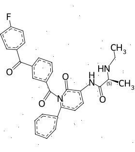 CCN[C@@H](C)C(=O)Nc1ccc(-c2ccccc2)n(C(=O)c2cccc(C(=O)c3ccc(F)cc3)c2)c1=O